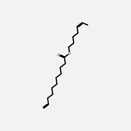 C=CCCCCCCCCC(=O)OCCCC/C=C\C